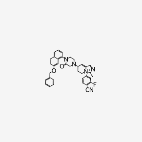 C[C@@H]1N=CC2=CC(N3CCN(c4cccc5ccc(OCc6ccccc6)cc45)C(=O)C3)CC[N@+]21c1ccc(C#N)c(F)c1